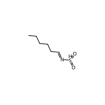 CCCCCC=N[SH](=O)=O